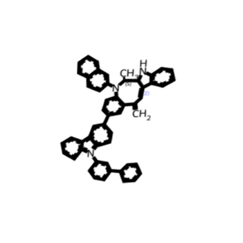 C=C1/C=C2/c3ccccc3NC2[C@H](C)N(c2ccc3ccccc3c2)c2ccc(-c3ccc4c(c3)c3ccccc3n4-c3cccc(-c4ccccc4)c3)cc21